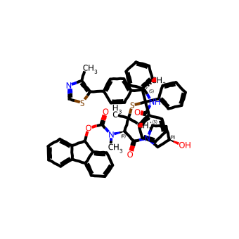 Cc1ncsc1-c1ccc([C@H](C)NC(=O)[C@@H]2C[C@@H](O)CN2C(=O)[C@@H](N(C)C(=O)OC2c3ccccc3-c3ccccc32)C(C)(C)SC(c2ccccc2)(c2ccccc2)c2ccccc2)cc1